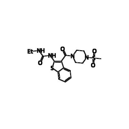 CCNC(=O)Nc1sc2ccccc2c1C(=O)N1CCN(S(C)(=O)=O)CC1